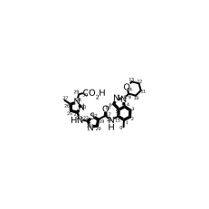 Cc1ccc2c(cnn2C2CCCCO2)c1NC(=O)c1cnc(Nc2cc(C)n(CC(=O)O)n2)s1